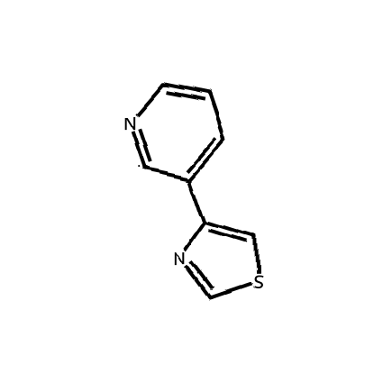 [c]1ncccc1-c1cscn1